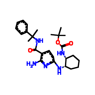 CC(C)(C)OC(=O)N[C@@H]1CCCC[C@@H]1Nc1ccc(C(=O)NC(C)(C)c2ccccc2)c(N)n1